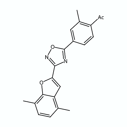 CC(=O)c1ccc(-c2nc(-c3cc4c(C)ccc(C)c4o3)no2)cc1C